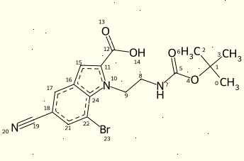 CC(C)(C)OC(=O)NCCn1c(C(=O)O)cc2cc(C#N)cc(Br)c21